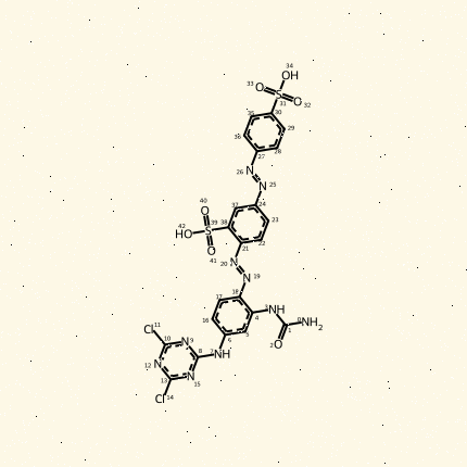 NC(=O)Nc1cc(Nc2nc(Cl)nc(Cl)n2)ccc1/N=N/c1ccc(/N=N/c2ccc(S(=O)(=O)O)cc2)cc1S(=O)(=O)O